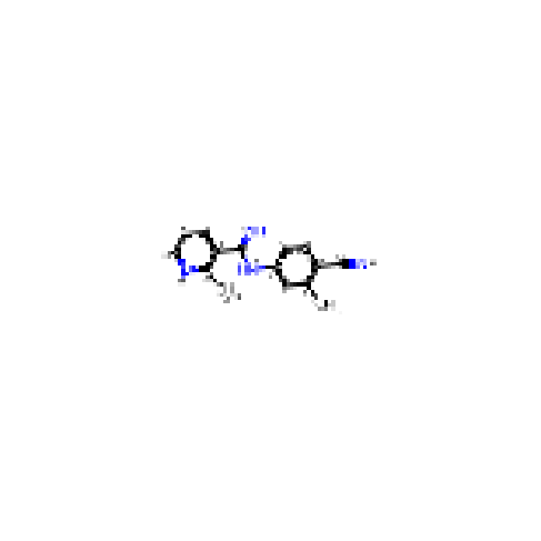 Cc1cc(NC(=N)c2cccnc2C)ccc1C#N